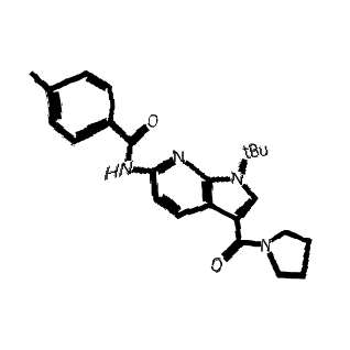 Cc1ccc(C(=O)Nc2ccc3c(C(=O)N4CCCC4)cn(C(C)(C)C)c3n2)cc1